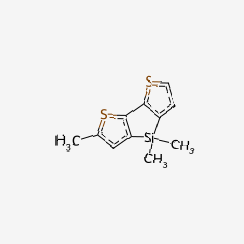 Cc1cc2c(s1)-c1sccc1[Si]2(C)C